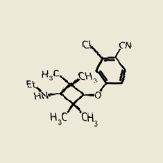 CCN[C@H]1C(C)(C)[C@@H](Oc2ccc(C#N)c(Cl)c2)C1(C)C